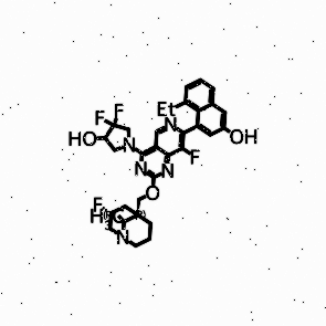 CCc1cccc2cc(O)cc(-c3ncc4c(N5CC(O)C(F)(F)C5)nc(OC[C@]56CCCN(C[C@H](F)C5)C6C)nc4c3F)c12